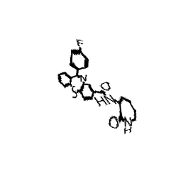 O=C(NC1CCCCNC1=O)c1ccc2c(c1)N=C(c1ccc(F)cc1)c1ccccc1S2